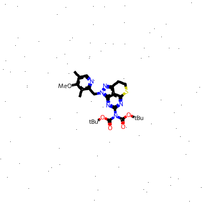 COc1c(C)cnc(Cn2nc3c4c(nc(N(C(=O)OC(C)(C)C)C(=O)OC(C)(C)C)nc42)SCC3)c1C